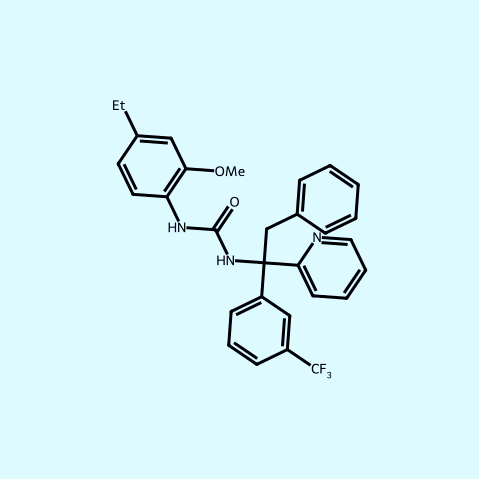 CCc1ccc(NC(=O)NC(Cc2ccccc2)(c2cccc(C(F)(F)F)c2)c2ccccn2)c(OC)c1